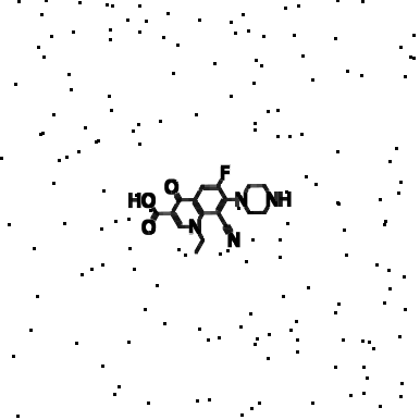 CCn1cc(C(=O)O)c(=O)c2cc(F)c(N3CCNCC3)c(C#N)c21